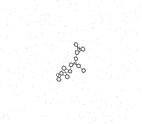 c1ccc(-c2ccc(N(c3ccc(-c4ccc5c(c4)c4ccccc4n5-c4ccccc4)cc3)c3cccc(-c4cccc5c4-c4ccccc4C54c5ccccc5-c5c4ccc4oc6ccccc6c54)c3)cc2)cc1